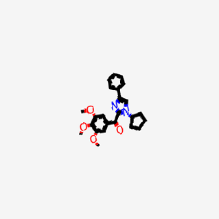 COc1cc(C(=O)c2nc(-c3ccccc3)cn2C2CCCC2)cc(OC)c1OC